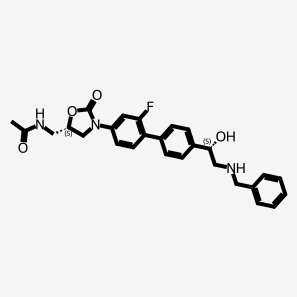 CC(=O)NC[C@H]1CN(c2ccc(-c3ccc([C@H](O)CNCc4ccccc4)cc3)c(F)c2)C(=O)O1